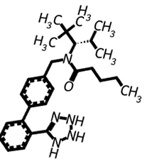 CCCCC(=O)N(Cc1ccc(-c2ccccc2C2=NNNN2)cc1)[C@@H](C(C)C)C(C)(C)C